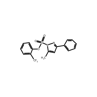 Cc1cc(-c2ccccc2)nn1S(=O)(=O)Oc1ccccc1C(F)(F)F